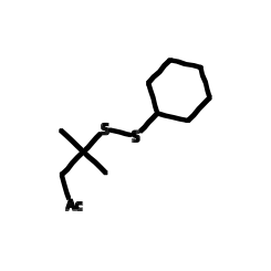 CC(=O)CC(C)(C)SSC1CCCCC1